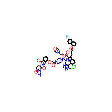 Cc1nn(C)c(C)c1-c1c(Cl)ccc2c(CCCOc3cccc4cc(F)ccc34)c(C(=O)OCCN3CCOCC3)n(CCN3CCN(C(=O)COc4cccc5c4CN(C4CCC(=O)NC4=O)C5=O)CC3)c12